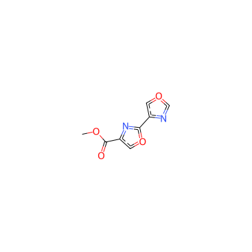 COC(=O)c1coc(-c2cocn2)n1